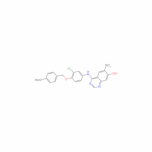 COc1ccc(COc2ccc(Nc3ncnc4cc(O)c([N+](=O)[O-])cc34)cc2Cl)cc1